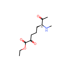 CCOC(=O)C(=O)CCC[C@H](NC)C(C)=O